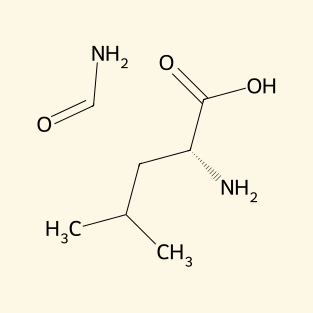 CC(C)C[C@@H](N)C(=O)O.NC=O